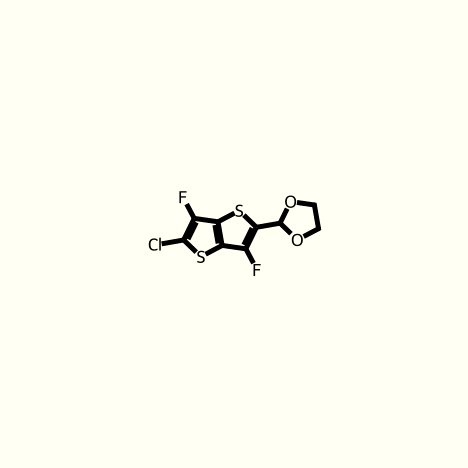 Fc1c(Cl)sc2c(F)c(C3OCCO3)sc12